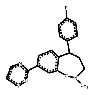 CN1CCC(c2ccc(F)cc2)c2ccc(-c3nccnn3)cc2C1